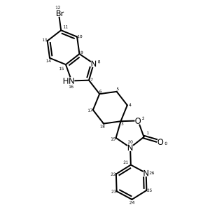 O=C1OC2(CCC(c3nc4cc(Br)ccc4[nH]3)CC2)CN1c1ccccn1